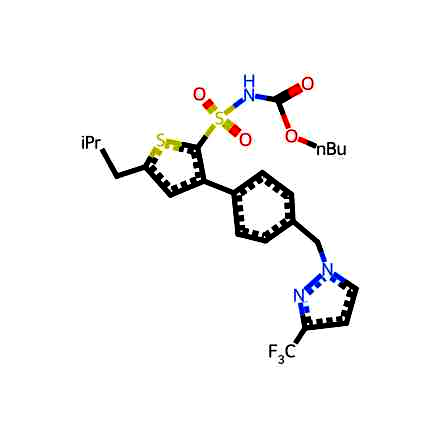 CCCCOC(=O)NS(=O)(=O)c1sc(CC(C)C)cc1-c1ccc(Cn2ccc(C(F)(F)F)n2)cc1